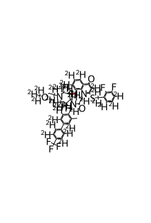 [2H]c1c([2H])c(F)c(F)c(C([2H])([2H])Sc2c([2H])c(=O)c3c([2H])c([2H])c([2H])c([2H])c3n2C([2H])([2H])C(=O)N(C([2H])([2H])c2c([2H])c([2H])c(-c3c([2H])c([2H])c(C(F)(F)F)c([2H])c3[2H])c([2H])c2C)C2([2H])C([2H])([2H])C([2H])([2H])N(C([2H])([2H])COC([2H])([2H])[2H])C([2H])([2H])C2([2H])[2H])c1[2H]